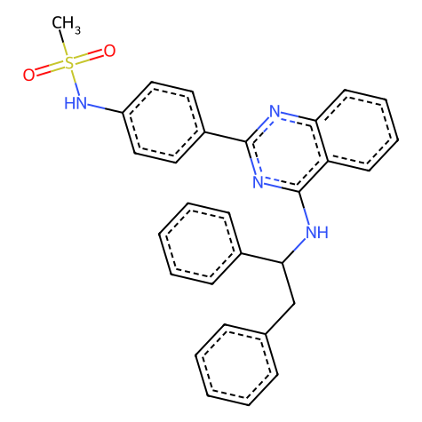 CS(=O)(=O)Nc1ccc(-c2nc(NC(Cc3ccccc3)c3ccccc3)c3ccccc3n2)cc1